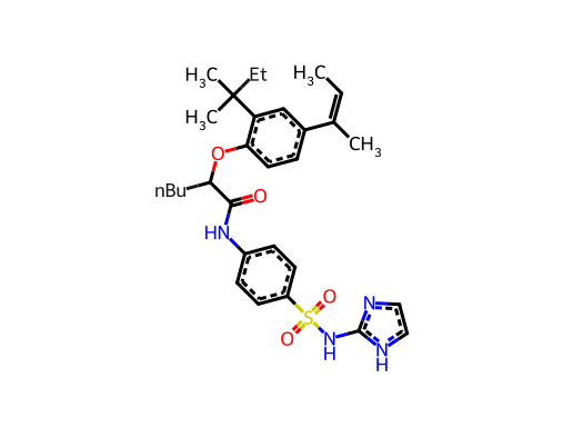 C/C=C(/C)c1ccc(OC(CCCC)C(=O)Nc2ccc(S(=O)(=O)Nc3ncc[nH]3)cc2)c(C(C)(C)CC)c1